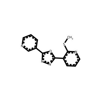 CSc1ncccc1-c1nnc(-c2cccnc2)o1